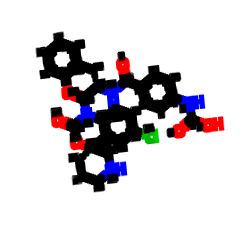 O=C(O)Nc1ccc(C(=O)N[C@@H](Cc2ccccc2)C(=O)N2C(=O)O[C@@]3(CCCNC3)c3cc(Cl)ccc32)cc1